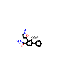 COc1c(-c2ccccc2)ccc(C(N)=O)c1C1=CCNO1